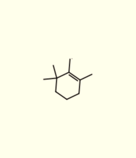 [CH2]C1=C(C)CCCC1(C)C